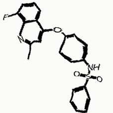 Cc1cc(Oc2ccc(NS(=O)(=O)c3ccccc3)cc2)c2cccc(F)c2n1